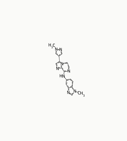 Cn1cc(-c2cnc3c(Nc4ccc5c(c4)ncn5C)nccn23)cn1